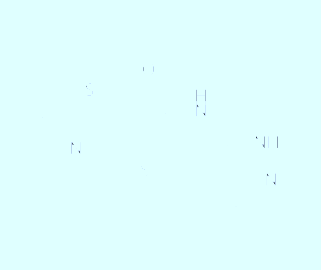 O=C1Nc2[nH]ncc2CSC1c1nccs1